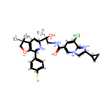 CC[C@]1(C)COc2c1cc([C@@](O)(CNC(=O)c1cc(Cl)c3nc(C4CC4)cn3c1)C(F)(F)F)nc2-c1ccc(F)cc1